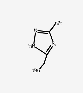 CCCc1n[nH]c(CC(C)(C)C)n1